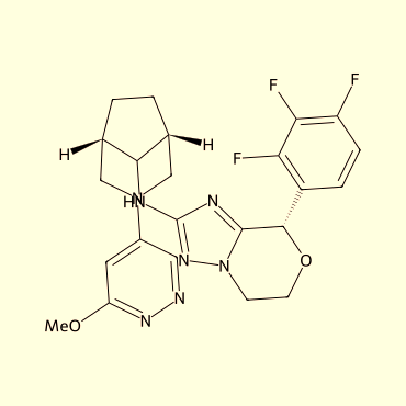 COc1cc(N2C[C@H]3CC[C@@H](C2)C3Nc2nc3n(n2)CCO[C@H]3c2ccc(F)c(F)c2F)cnn1